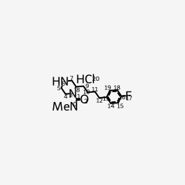 CNC(=O)N1CCNCC1CCCCc1ccc(F)cc1.Cl